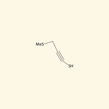 CSCC#CS